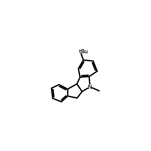 CN1c2ccc(C(C)(C)C)cc2C2c3ccccc3CC21